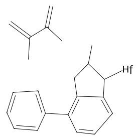 C=C(C)C(=C)C.CC1Cc2c(-c3ccccc3)cccc2[CH]1[Hf]